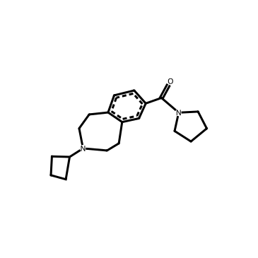 O=C(c1ccc2c(c1)CCN(C1CCC1)CC2)N1CCCC1